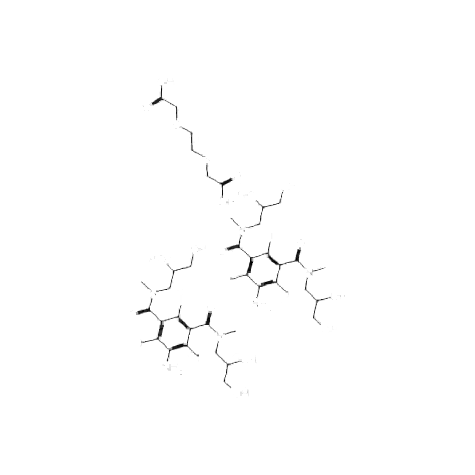 CN(CC(O)CO)C(=O)c1c(I)c(N)c(I)c(C(=O)N(C)CC(O)CO)c1I.CN(CC(O)CO)C(=O)c1c(I)c(N)c(I)c(C(=O)N(C)CC(O)CO)c1I.O=C(O)COCCSCC(=O)O